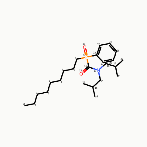 CCCCCCCCCP(=O)(C(=O)N(CC(C)C)CC(C)C)c1ccccc1